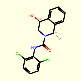 C[C@H]1c2ccccc2[C@H](O)CN1C(=O)Nc1c(Cl)cccc1Cl